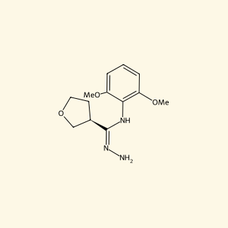 COc1cccc(OC)c1N/C(=N\N)[C@@H]1CCOC1